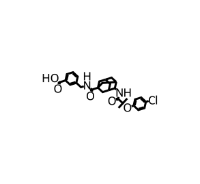 CC(C)(Oc1ccc(Cl)cc1)C(=O)NC1C2CC3CC1CC(C(=O)NCc1cccc(C(=O)O)c1)(C3)C2